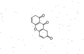 O=C1C=Cc2oc3c(c(=O)c2C1)C(=O)CC=C3